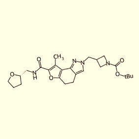 Cc1c(C(=O)NC[C@@H]2CCCO2)oc2c1-c1nn(CC3CN(C(=O)OC(C)(C)C)C3)cc1CC2